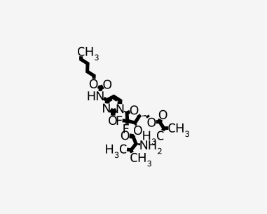 CCCCCOC(=O)Nc1ccn([C@@H]2O[C@H](COC(=O)C(C)C)[C@@H](OC(=O)[C@@H](N)C(C)C)C2(F)F)c(=O)n1